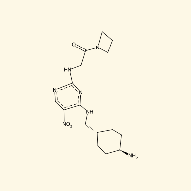 N[C@H]1CC[C@H](CNc2nc(NCC(=O)N3CCC3)ncc2[N+](=O)[O-])CC1